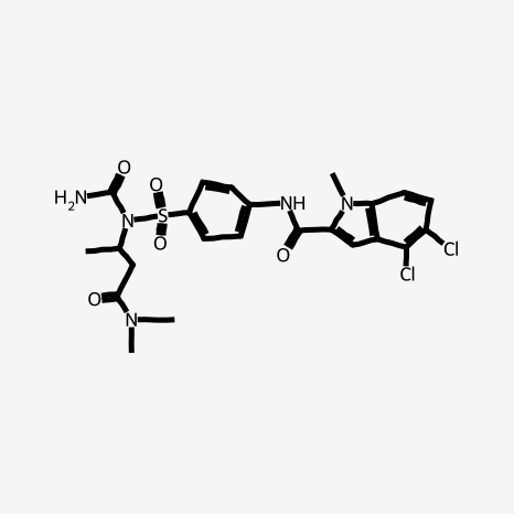 CC(CC(=O)N(C)C)N(C(N)=O)S(=O)(=O)c1ccc(NC(=O)c2cc3c(Cl)c(Cl)ccc3n2C)cc1